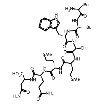 CC[C@H](C)[C@H](N)C(=O)N[C@H](C(=O)N[C@@H](Cc1c[nH]c2ccccc12)C(=O)N[C@@H](C)C(=O)N[C@@H](CCSC)C(=O)N[C@@H](CCSC)C(=O)N[C@@H](CCC(N)=O)C(=O)N[C@@H](CC(N)=O)C(=O)O)[C@@H](C)CC